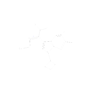 CC(C)(C)S/N=C(\c1cn(C2CCC2)c2cc(Br)c(F)cc12)C(F)F